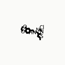 Cc1cc2c(NCc3ccc4c(c3)OCCO4)nc(Cl)nc2s1